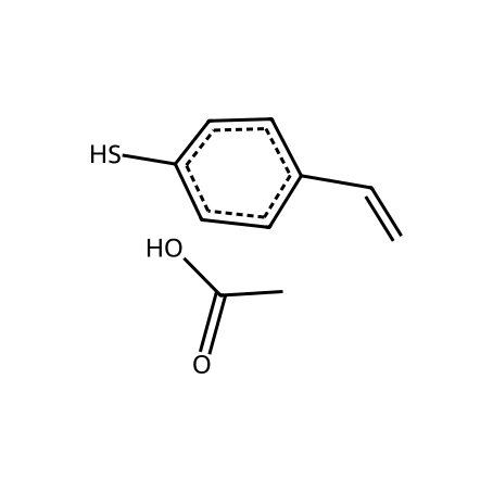 C=Cc1ccc(S)cc1.CC(=O)O